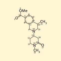 COC(=O)c1ccc2c(c1)CN(C1CCN(C)C(=O)C1)CC2C